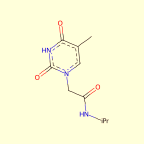 Cc1cn(CC(=O)NC(C)C)c(=O)[nH]c1=O